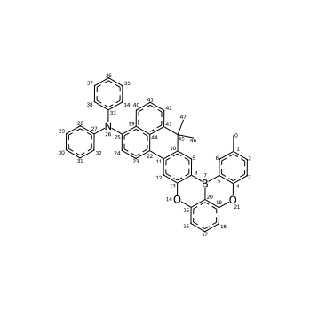 Cc1ccc2c(c1)B1c3cc4c(cc3Oc3cccc(c31)O2)-c1ccc(N(c2ccccc2)c2ccccc2)c2cccc(c12)C4(C)C